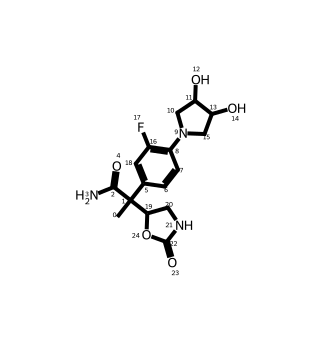 CC(C(N)=O)(c1ccc(N2CC(O)C(O)C2)c(F)c1)C1CNC(=O)O1